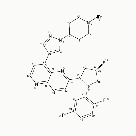 CC(C)N1CCC(n2cc(-c3ccnc4ccc(N5C[C@@H](F)C[C@@H]5c5cc(F)ccc5F)nc34)cn2)CC1